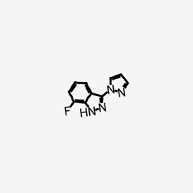 Fc1cccc2c(-n3cccn3)n[nH]c12